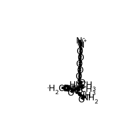 [CH2]c1ccc(NC(=O)[C@H](CCCNC(N)=O)NC(=O)[C@@H](NC(=O)CCOCCOCCOCCOCCOCCN=[N+]=[N-])C(C)C)cc1